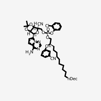 CCCCCCCCCCCCCCCCCCCC[C@H](COP(=O)(OC[C@@]1(C#N)O[C@@H](c2ccc3c(N)ncnn23)[C@@H]2OC(C)(C)O[C@@H]21)Oc1ccccc1Cl)Oc1cccc(C#N)c1